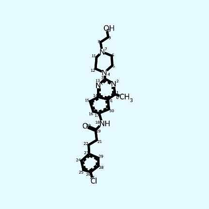 Cc1nc(N2CCN(CCO)CC2)nc2ccc(NC(=O)CCc3ccc(Cl)cc3)cc12